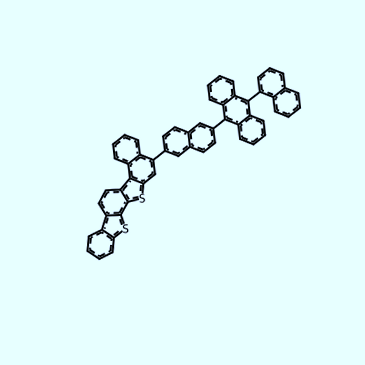 c1ccc2c(-c3c4ccccc4c(-c4ccc5cc(-c6cc7sc8c(ccc9c%10ccccc%10sc98)c7c7ccccc67)ccc5c4)c4ccccc34)cccc2c1